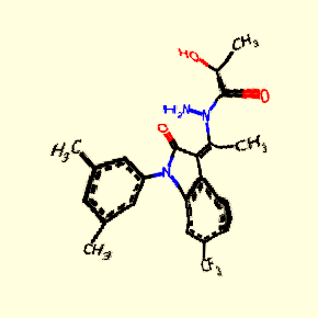 C/C(=C1/C(=O)N(c2cc(C)cc(C)c2)c2cc(C(F)(F)F)ccc21)N(N)C(=O)C(C)O